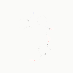 Cc1cccc(NC2CCN(C(=O)COc3ccc(CO)cc3)C2)c1F